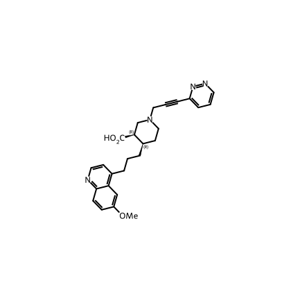 COc1ccc2nccc(CCC[C@@H]3CCN(CC#Cc4cccnn4)C[C@@H]3C(=O)O)c2c1